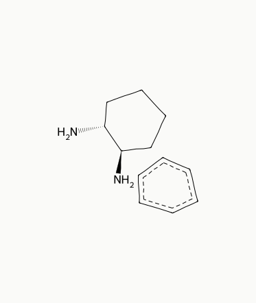 N[C@@H]1CCCC[C@H]1N.c1ccccc1